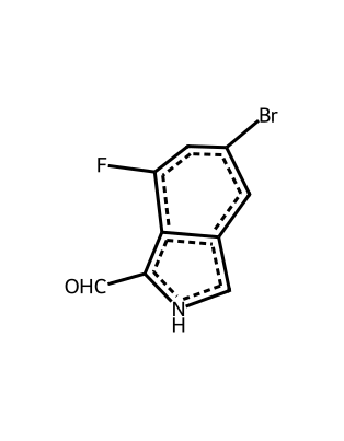 O=Cc1[nH]cc2cc(Br)cc(F)c12